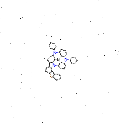 c1ccc(N2c3cccc4c3B3c5c2cccc5-n2c5c3c(ccc5c3ccc5sc6ccccc6c5c32)N4c2ccccc2)cc1